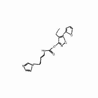 CCc1c(OC(=O)NCCCn2ccnc2)noc1-c1ccco1